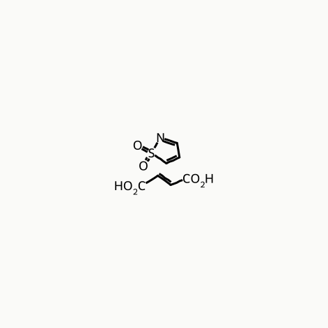 O=C(O)/C=C/C(=O)O.O=S1(=O)C=CC=N1